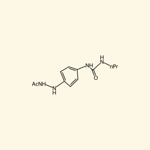 CCCNC(=O)Nc1ccc(NNC(C)=O)cc1